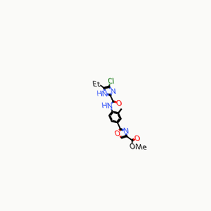 CCc1[nH]c(C(=O)Nc2ccc(-c3nc(C(=O)OC)co3)cc2C)nc1Cl